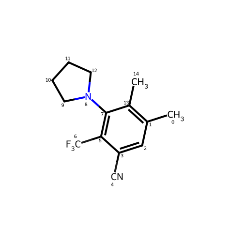 Cc1cc(C#N)c(C(F)(F)F)c(N2CCCC2)c1C